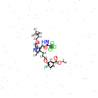 CCOC(=O)c1ccc(F)c(OCCCc2c(C)nn(COCC[Si](C)(C)C)c2COC(=N)C(Cl)(Cl)Cl)c1